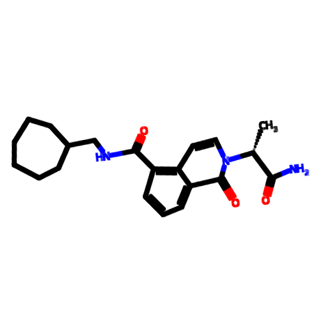 C[C@H](C(N)=O)n1ccc2c(C(=O)NCC3CCCCCC3)cccc2c1=O